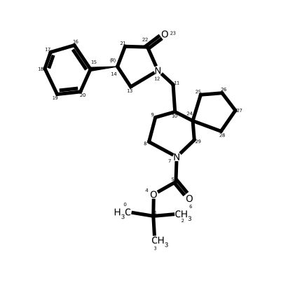 CC(C)(C)OC(=O)N1CCC(CN2C[C@@H](c3ccccc3)CC2=O)C2(CCCC2)C1